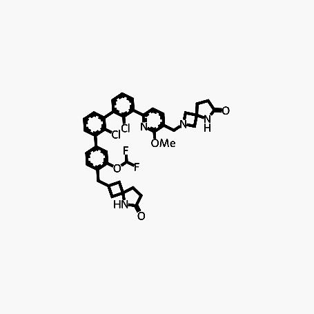 COc1nc(-c2cccc(-c3cccc(-c4ccc(CC5CC6(CCC(=O)N6)C5)c(OC(F)F)c4)c3Cl)c2Cl)ccc1CN1CC2(CCC(=O)N2)C1